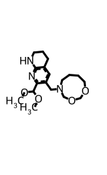 COC(OC)c1nc2c(cc1CN1CCCCOCOC1)CCCN2